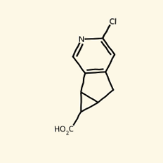 O=C(O)C1C2Cc3cc(Cl)ncc3C21